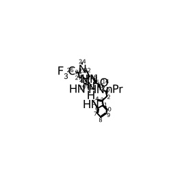 CCCC(Cc1c[nH]c2ccccc12)NC(=O)C(=N)NC(=N)N1CCN(C)C(C(F)(F)F)C1